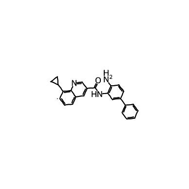 Nc1ccc(-c2ccccc2)cc1NC(=O)c1cnc2c(C3CC3)[c]ccc2c1